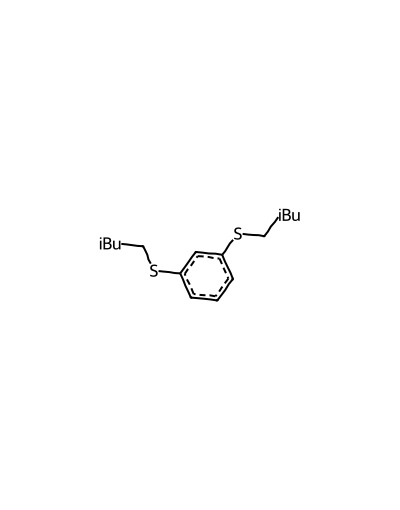 CCC(C)CSc1cccc(SCC(C)CC)c1